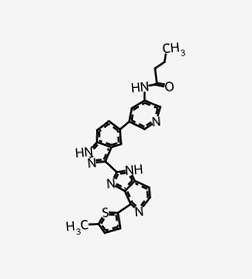 CCCC(=O)Nc1cncc(-c2ccc3[nH]nc(-c4nc5c(-c6ccc(C)s6)nccc5[nH]4)c3c2)c1